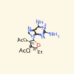 CC[C@H]1OC(n2cnc3c(N)nc(N)nc32)[C@H](OC(C)=O)[C@@H]1OC(C)=O